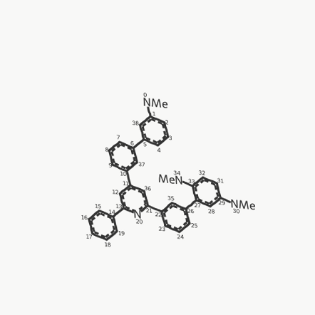 CNc1cccc(-c2cccc(-c3cc(-c4ccccc4)nc(-c4cccc(-c5cc(NC)ccc5NC)c4)c3)c2)c1